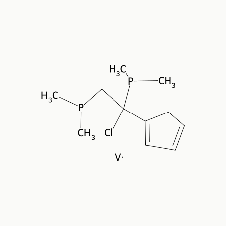 CP(C)CC(Cl)(C1=CC=CC1)P(C)C.[V]